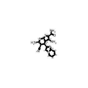 N#Cc1c(N)nc2sc(C(N)=O)c(N)c2c1-c1cn2ccccc2n1